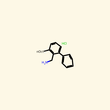 CCCCCCCCc1cccc(-c2ccccc2)c1CN.Cl